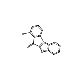 O=C1c2c(Br)cccc2-n2c1nc1ccccc12